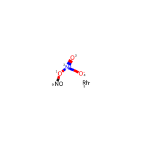 O=NO[N+](=O)[O-].[Rh]